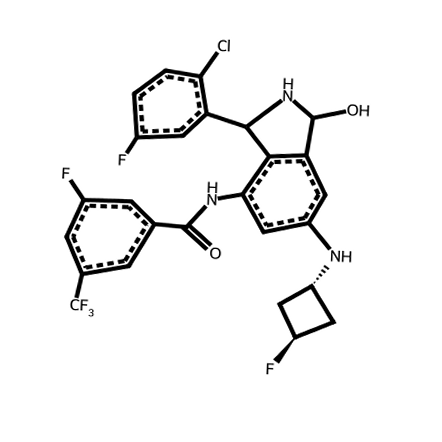 O=C(Nc1cc(N[C@H]2C[C@H](F)C2)cc2c1C(c1cc(F)ccc1Cl)NC2O)c1cc(F)cc(C(F)(F)F)c1